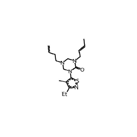 C=CCCN1CN(C/C=C/C)C(=O)N(c2snc(CC)c2C)C1